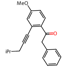 COc1ccc(C(=O)Cc2ccccc2)c(C#CCC(C)C)c1